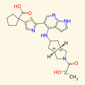 C[C@H](O)C(=O)N1C[C@H]2CC(Nc3c(-c4ncc(C5(C(=O)O)CCCC5)s4)cnc4[nH]ccc34)C[C@H]2C1